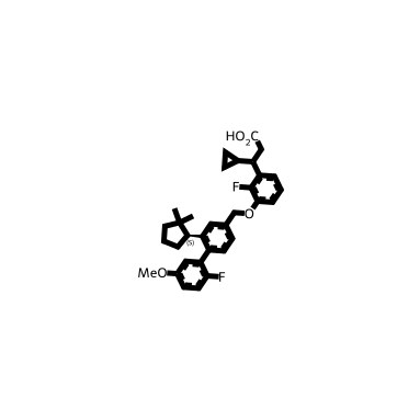 COc1ccc(F)c(-c2ccc(COc3cccc(C(CC(=O)O)C4CC4)c3F)cc2[C@H]2CCCC2(C)C)c1